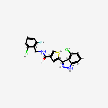 O=C(NCc1c(F)cccc1Cl)c1csc(-c2n[nH]c3cccc(Cl)c23)c1